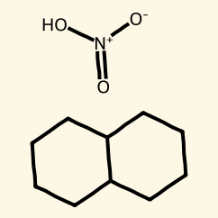 C1CCC2CCCCC2C1.O=[N+]([O-])O